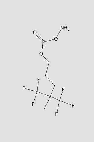 CC(CCCO[PH](=O)ON)(C(F)(F)F)C(F)(F)F